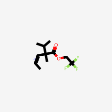 C/C=C\C(C)(C(=O)OCC(F)(F)F)C(C)C